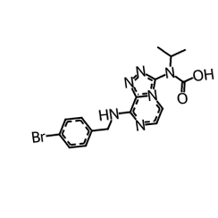 CC(C)N(C(=O)O)c1nnc2c(NCc3ccc(Br)cc3)nccn12